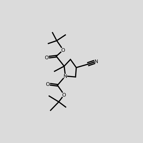 CC(C)(C)OC(=O)N1CC(C#N)CC1(C)C(=O)OC(C)(C)C